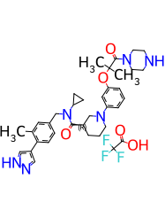 Cc1cc(CN(C(=O)[C@@H]2CCCN(c3cccc(OC(C)(C)C(=O)N4CCNCC4)c3)C2)C2CC2)ccc1-c1cn[nH]c1.O=C(O)C(F)(F)F